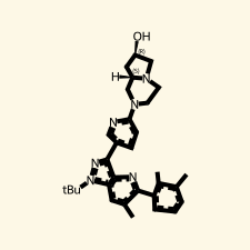 Cc1cc2c(nc1-c1cccc(C)c1C)c(-c1ccc(N3CCN4C[C@H](O)C[C@H]4C3)nc1)nn2C(C)(C)C